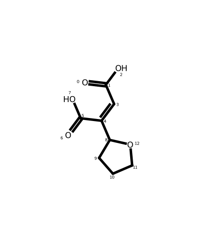 O=C(O)C=C(C(=O)O)C1CCCO1